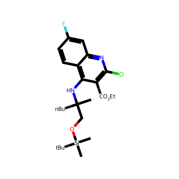 CCCCC(C)(CO[Si](C)(C)C(C)(C)C)Nc1c(C(=O)OCC)c(Cl)nc2cc(F)ccc12